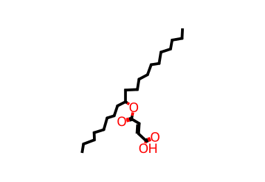 CCCCCCCCCCCC(CCCCCCCC)OC(=O)C=CC(=O)O